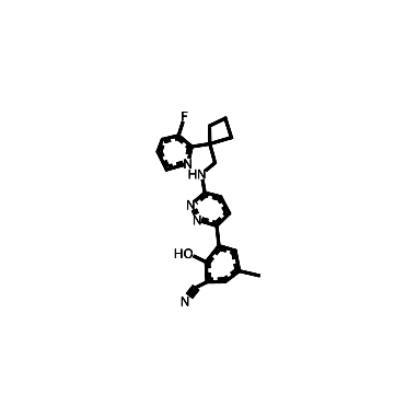 Cc1cc(C#N)c(O)c(-c2ccc(NCC3(c4ncccc4F)CCC3)nn2)c1